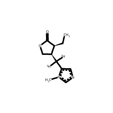 [2H]C([2H])(c1cncn1C)[C@H]1COC(=O)[C@H]1CC